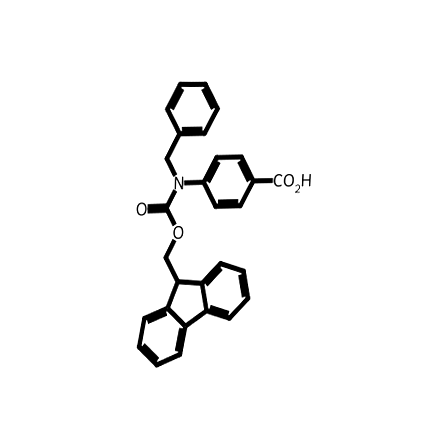 O=C(O)c1ccc(N(Cc2ccccc2)C(=O)OCC2c3ccccc3-c3ccccc32)cc1